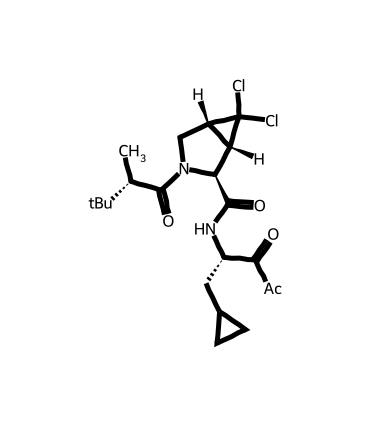 CC(=O)C(=O)[C@H](CC1CC1)NC(=O)[C@@H]1[C@@H]2[C@H](CN1C(=O)[C@@H](C)C(C)(C)C)C2(Cl)Cl